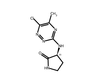 Cc1nc(N[C@H]2CCNC2=O)nnc1Cl